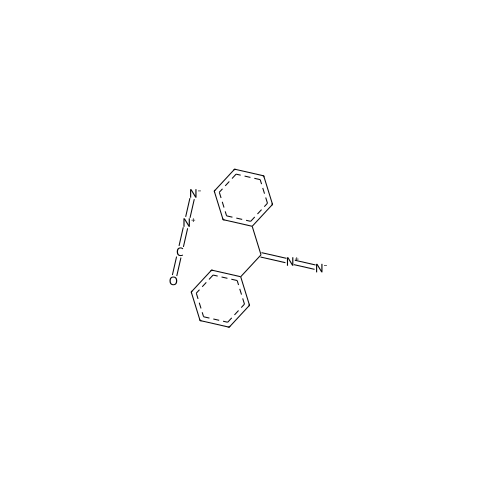 [N-]=[N+]=C(c1ccccc1)c1ccccc1.[N-]=[N+]=C=O